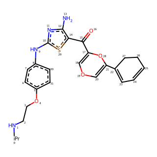 CC(C)NCCOc1ccc(Nc2nc(N)c(C(=O)C3=COC=C(C4=CC=CCC4)O3)s2)cc1